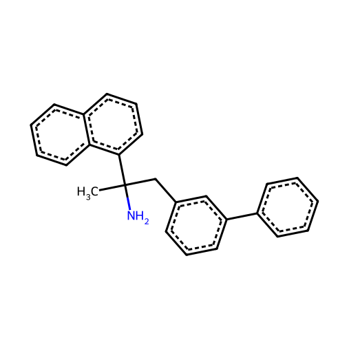 CC(N)(Cc1cccc(-c2ccccc2)c1)c1cccc2ccccc12